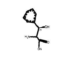 NC(C(=O)O)[C@H](O)c1ccccc1